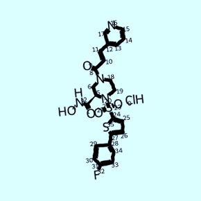 Cl.O=C(NO)[C@H]1CN(C(=O)/C=C/c2cccnc2)CCN1S(=O)(=O)c1ccc(-c2ccc(F)cc2)s1